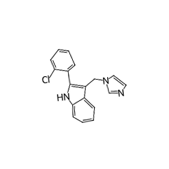 Clc1ccccc1-c1[nH]c2ccccc2c1Cn1ccnc1